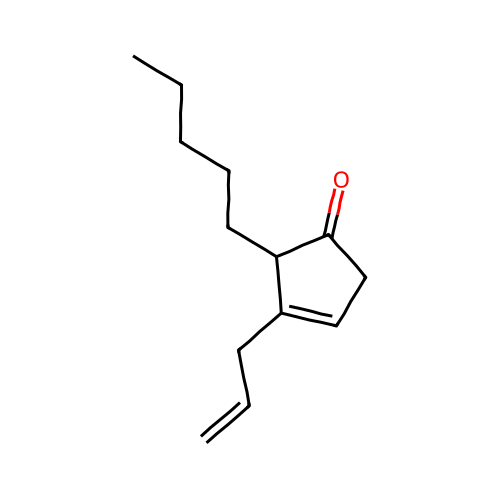 C=CCC1=CCC(=O)C1CCCCC